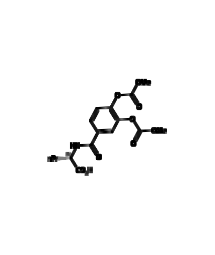 CCC[C@H](NC(=O)c1ccc(OC(=O)OC)c(OC(=O)OC)c1)C(=O)O